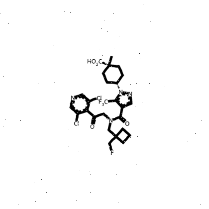 C[C@]1(C(=O)O)CC[C@H](n2ncc(C(=O)N(CC(=O)c3c(Cl)cncc3Cl)CC3(CF)CCC3)c2C(F)(F)F)CC1